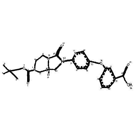 CC(C)(C)OC(=O)N1CCN2C(=O)N(c3ccc(Oc4cccc(C(=O)O)c4)cn3)C[C@@H]2C1